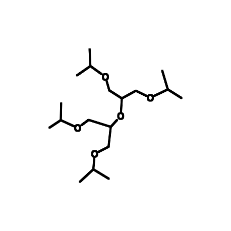 CC(C)OCC(COC(C)C)OC(COC(C)C)COC(C)C